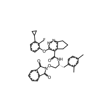 Cc1ccc(C[C@H](CON2C(=O)c3ccccc3C2=O)NC(=O)c2c(Oc3cccc(C4CC4)c3F)nnc3c2CCC3)c(C)c1